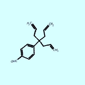 C=CCC(CC=C)(CC=C)c1ccc(C=O)cc1